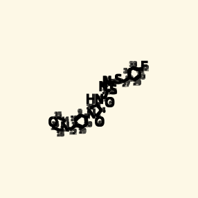 O=C(NC1CC(=O)N(c2ccc(CN3CCOCC3)cc2)C1)c1nnc(SCc2ccc(F)cc2)s1